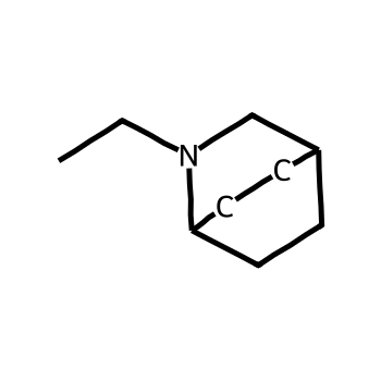 CCN1CC2CCC1CC2